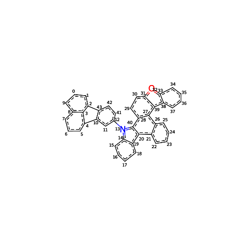 c1cc2c3c(cccc3c1)-c1cc(-n3c4ccccc4c4c5ccccc5c5c(ccc6oc7ccccc7c65)c43)ccc1-2